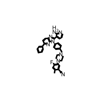 Cc1cc(F)c(N2CCN(Cc3ccc(-n4c(-c5cccnc5N)nc5ccc(-c6ccccc6)nc54)cc3)CC2)cc1C#N